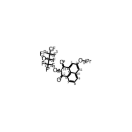 CC(C)Oc1cc2c3c(cccc3c1)C(=O)N(OSC(F)(F)C(F)(OF)C(F)(F)C(F)(F)F)C2=O